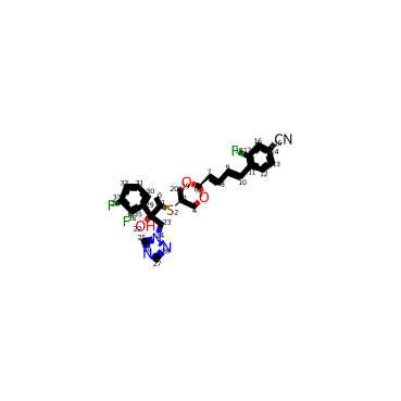 CC(S[C@H]1CO[C@H](/C=C/C=C/c2ccc(C#N)cc2F)OC1)C(O)(Cn1cncn1)c1cccc(F)c1F